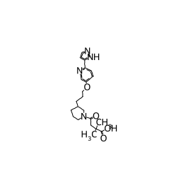 CC(C)(CC(=O)N1CCCC(CCCOc2ccc(-c3ccn[nH]3)nc2)C1)C(=O)O